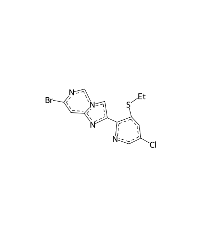 CCSc1cc(Cl)cnc1-c1cn2cnc(Br)cc2n1